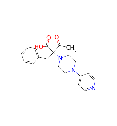 CC(=O)C(Cc1ccccc1)(C(=O)O)N1CCN(c2ccncc2)CC1